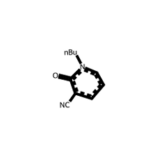 CCCCn1cccc(C#N)c1=O